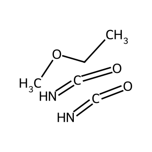 CCOC.N=C=O.N=C=O